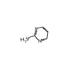 [SiH3]c1ncccn1